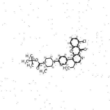 CCc1cnc2c(=O)c3c(Cl)cccc3oc2c1-c1ccc(N2CCN(C(=O)OC(C)(C)C)[C@@H](C)C2)nc1